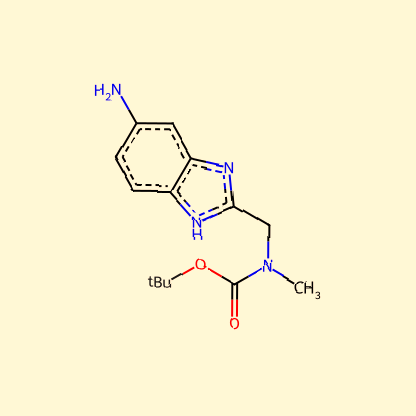 CN(Cc1nc2cc(N)ccc2[nH]1)C(=O)OC(C)(C)C